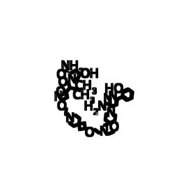 CC(C)C(C(=O)N1C[C@H](O)C[C@H]1C(N)=O)c1cc(OCCN2CCC3(CC2)CC(OCCN2CCOC4(CCN(c5cc(-c6ccccc6O)nnc5N)CC4)C2)C3)no1